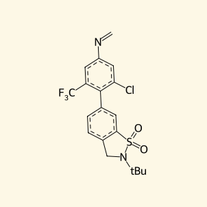 C=Nc1cc(Cl)c(-c2ccc3c(c2)S(=O)(=O)N(C(C)(C)C)C3)c(C(F)(F)F)c1